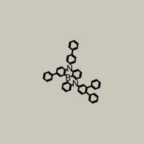 c1ccc(-c2ccc(N3c4ccc(-c5ccccc5)cc4B4c5ccccc5N(c5ccc(-c6ccccc6)c(-c6ccccc6)c5)c5cccc3c54)cc2)cc1